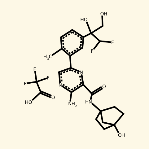 Cc1ccc(C(O)(CO)C(F)F)cc1-c1cnc(N)c(C(=O)NC23CCC(O)(CC2)C3)n1.O=C(O)C(F)(F)F